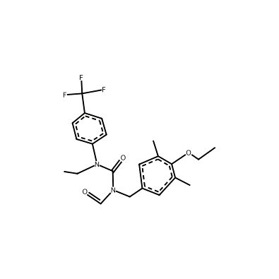 CCOc1c(C)cc(CN(C=O)C(=O)N(CC)c2ccc(C(F)(F)F)cc2)cc1C